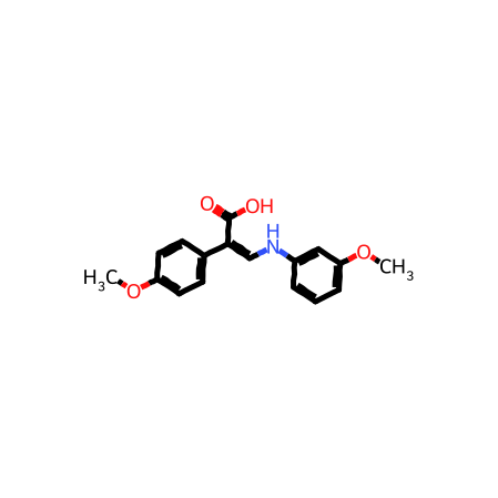 COc1ccc(C(=CNc2cccc(OC)c2)C(=O)O)cc1